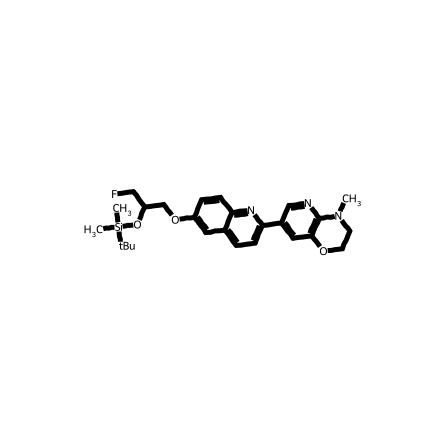 CN1CCOc2cc(-c3ccc4cc(OCC(CF)O[Si](C)(C)C(C)(C)C)ccc4n3)cnc21